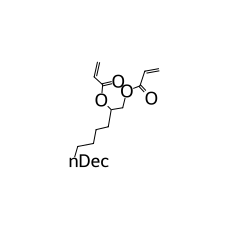 C=CC(=O)OCC(CCCCCCCCCCCCCC)OC(=O)C=C